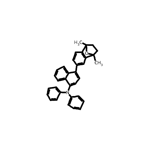 CC12CCC(C)(O1)c1cc(-c3ccc(N(c4ccccc4)c4ccccc4)c4ccccc34)ccc12